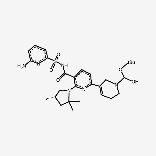 C[C@@H]1CN(c2nc(C3=CCCN(C(O)OC(C)(C)C)C3)ccc2C(=O)NS(=O)(=O)c2cccc(N)n2)C(C)(C)C1